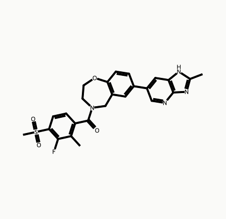 Cc1nc2ncc(-c3ccc4c(c3)CN(C(=O)c3ccc(S(C)(=O)=O)c(F)c3C)CCO4)cc2[nH]1